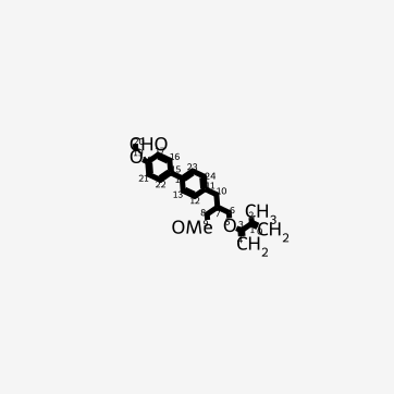 C=C(C)C(=C)OCC(COC)Cc1ccc(-c2ccc(OC=O)cc2)cc1